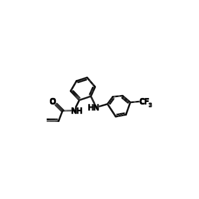 C=CC(=O)Nc1ccccc1Nc1ccc(C(F)(F)F)cc1